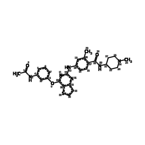 CC(=O)Nc1cccc(Oc2nc(Nc3ccc(C(=O)NC4CCN(C)CC4)c(C)c3)nc3ccsc23)c1